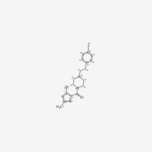 CCc1cn(C)nc1C(=O)N1CCN(CCc2ccc(F)cc2)CC1